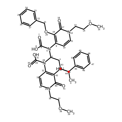 CCNCC(N(C(=O)O)c1ccn(CCOC)c(=O)c1OCc1ccccc1)N(C(=O)O)c1ccn(CCOC)c(=O)c1OCc1ccccc1